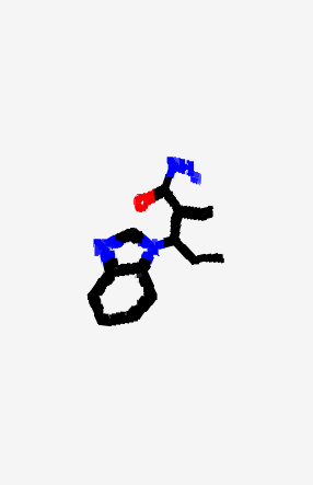 C=C(C(N)=O)C(CC)n1cnc2ccccc21